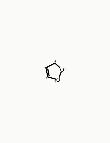 [C]1=COO[CH]1